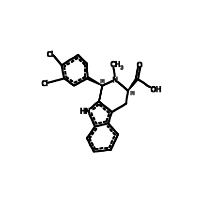 CN1[C@H](c2ccc(Cl)c(Cl)c2)c2[nH]c3ccccc3c2C[C@@H]1C(=O)O